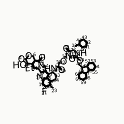 CC[C@@]1(O)C(=O)OCc2c1cc1n(c2=O)Cc2c-1nc1cc(F)c(C)c3c1c2[C@@H](NC(=O)COCNC(=O)[C@H](Cc1ccccc1)NC(=O)OCC1c2ccccc2-c2ccccc21)CC3